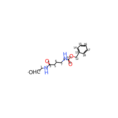 O=[C]CNC(=O)CCCNC(=O)OCc1ccccc1